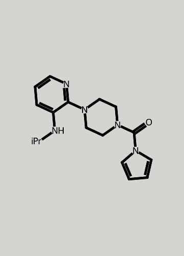 CC(C)Nc1cccnc1N1CCN(C(=O)n2cccc2)CC1